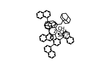 [CH3][Zr]([CH3])(=[SiH2])([CH]1C(CC23CC4CC(CC(C4)C2)C3)=Cc2c(-c3cccc4ccccc34)ccc(-c3cccc4ccccc34)c21)[CH]1C(CC23CC4CC(CC(C4)C2)C3)=Cc2c(-c3cccc4ccccc34)ccc(-c3cccc4ccccc34)c21